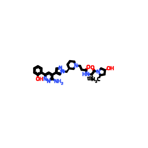 C[C@@H]1C[C@@H](O)CN1C(=O)[C@@H](NC(=O)CCN1CCC[C@H](Cn2cc(-c3cc(-c4ccccc4O)nnc3N)cn2)C1)C(C)(C)C